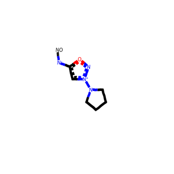 O=N[N-]c1c[n+](N2CCCC2)no1